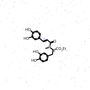 CCOC(=O)[C@@H](Cc1ccc(O)c(O)c1)N(C)C(=O)/C=C/c1ccc(O)c(O)c1